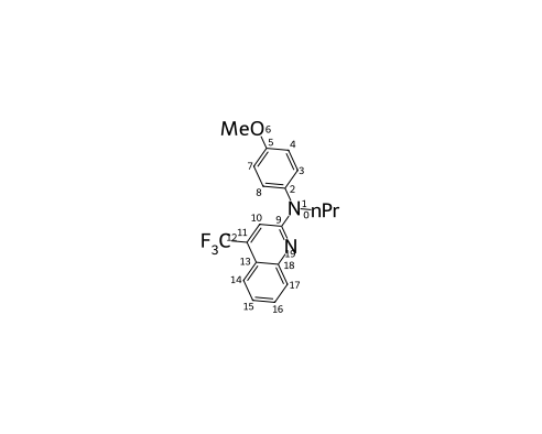 CCCN(c1ccc(OC)cc1)c1cc(C(F)(F)F)c2ccccc2n1